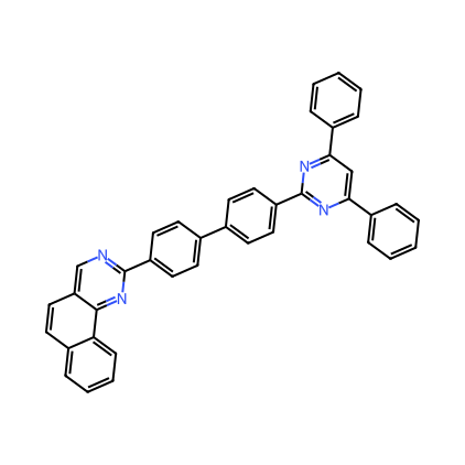 c1ccc(-c2cc(-c3ccccc3)nc(-c3ccc(-c4ccc(-c5ncc6ccc7ccccc7c6n5)cc4)cc3)n2)cc1